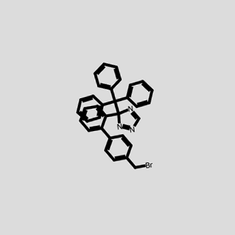 BrCc1ccc(-c2ccccc2C2(C(c3ccccc3)(c3ccccc3)c3ccccc3)N=CN=N2)cc1